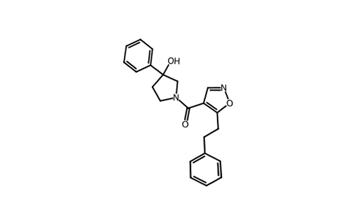 O=C(c1cnoc1CCc1ccccc1)N1CCC(O)(c2ccccc2)C1